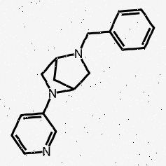 c1ccc(CN2CC3CC2CN3c2cccnc2)cc1